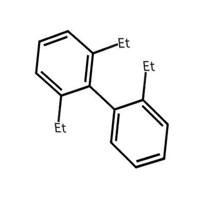 CCc1ccccc1-c1c(CC)cccc1CC